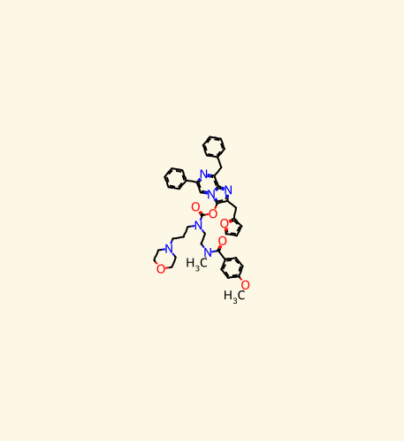 COc1ccc(C(=O)N(C)CCN(CCCN2CCOCC2)C(=O)Oc2c(Cc3ccco3)nc3c(Cc4ccccc4)nc(-c4ccccc4)cn23)cc1